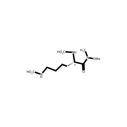 CON(C)C(=O)[C@H](CCCCNC(=O)O)NC(=O)O